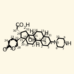 C[C@]12CCC(N3CCNCC3)C[C@H]1CC[C@@H]1[C@@H]2CC[C@]2(C)[C@@H](c3ccc(=O)oc3)[C@H](CC(=O)O)C[C@]12O